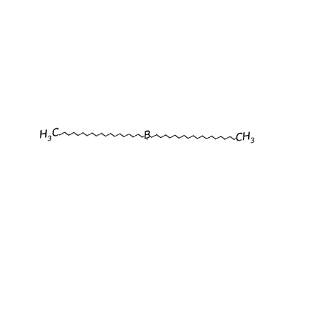 CCCCCCCCCCCCCCCCCCCC[B]CCCCCCCCCCCCCCCCCCCC